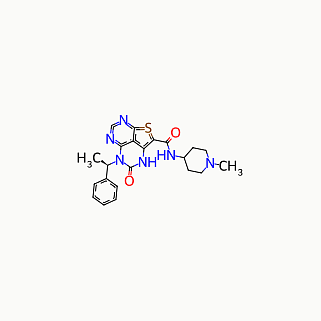 C[C@H](c1ccccc1)N1C(=O)Nc2c(C(=O)NC3CCN(C)CC3)sc3ncnc1c23